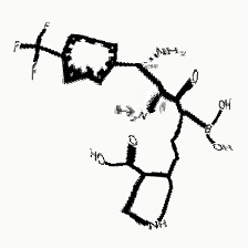 N[C@H](C(=O)C(CCC1CNCC1C(=O)O)B(O)O)[C@@H](N)c1ccc(C(F)(F)F)cc1